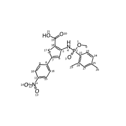 COP(=O)(Nc1cc(-c2ccc([N+](=O)[O-])cc2)sc1C(=O)O)c1ccc(C)cc1C